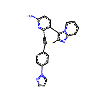 Cc1nc2ccccn2c1-c1ccc(N)nc1C#Cc1ccc(-n2cccn2)cc1